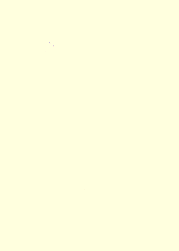 Cl.NCCSCc1ccccc1F